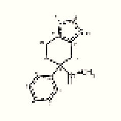 CNC1(c2ccccc2)CCc2ncsc2C1